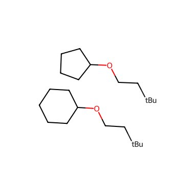 CC(C)(C)CCOC1CCCC1.CC(C)(C)CCOC1CCCCC1